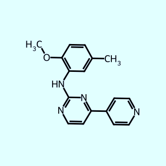 COc1ccc(C)cc1Nc1nccc(-c2ccncc2)n1